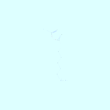 CCCCCCCCCCCCCCOc1ccc(C(C)=O)o1